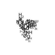 CC(C)[C@@H](NC(=O)OC(C)(C)C)C(=O)O[C@@H]1[C@H]2O[Si](C(C)(C)C)(C(C)(C)C)OC[C@H]2O[C@H]1n1c(=O)sc2cnc(N)nc21